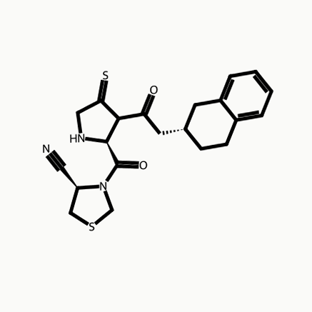 N#C[C@@H]1CSCN1C(=O)[C@H]1NCC(=S)C1C(=O)C[C@H]1CCc2ccccc2C1